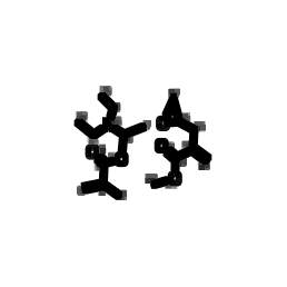 C=C(C)C(=O)OC(C)N(CC)CC.C=C(CC1CO1)C(=O)OC